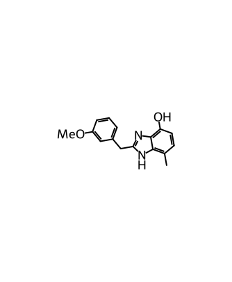 COc1cccc(Cc2nc3c(O)ccc(C)c3[nH]2)c1